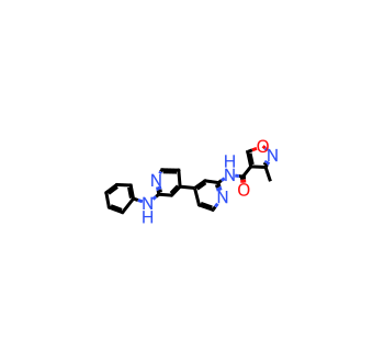 Cc1nocc1C(=O)Nc1cc(-c2ccnc(Nc3ccccc3)c2)ccn1